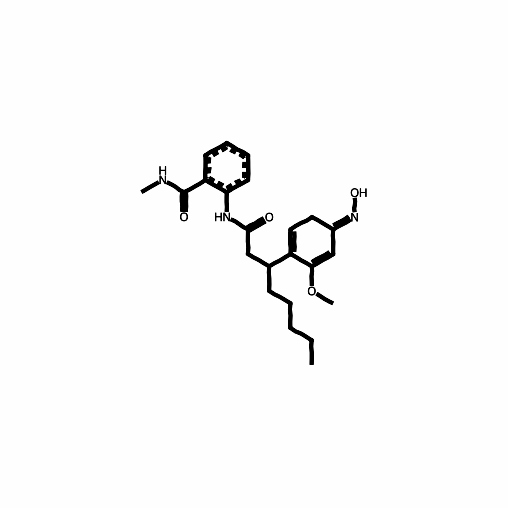 CCCCCC(CC(=O)Nc1ccccc1C(=O)NC)C1=CCC(=NO)C=C1OC